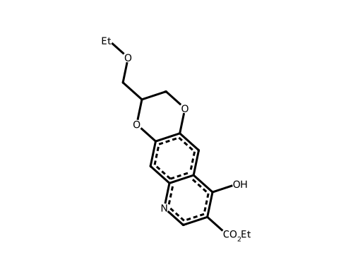 CCOCC1COc2cc3c(O)c(C(=O)OCC)cnc3cc2O1